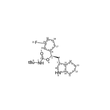 CC(C)(C)NC(=O)O[C@H](Cc1c[nH]c2ccccc12)c1cccc(F)c1